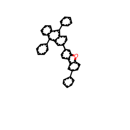 c1ccc(-c2ccc3oc4cc(-c5ccc6c(-c7ccccc7)c7ccccc7c(-c7ccccc7)c6c5)ccc4c3c2)cc1